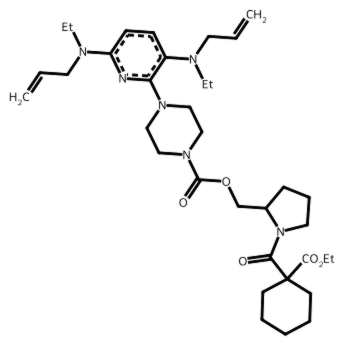 C=CCN(CC)c1ccc(N(CC)CC=C)c(N2CCN(C(=O)OCC3CCCN3C(=O)C3(C(=O)OCC)CCCCC3)CC2)n1